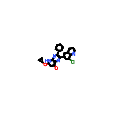 O=c1cc(OC2CC2)[nH]c2nc(-c3ccccc3)c(-c3cc(Cl)c4ncccc4c3)nc12